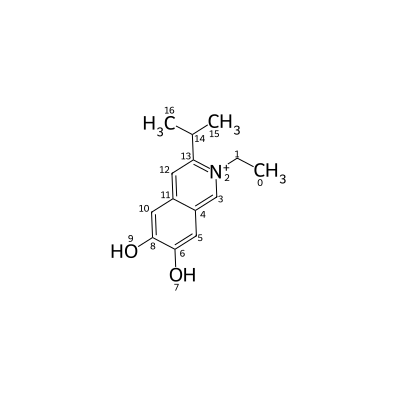 CC[n+]1cc2cc(O)c(O)cc2cc1C(C)C